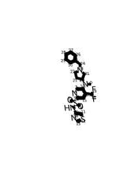 CN(c1cnc(S(=O)(=O)Nc2cscn2)cc1C(F)F)[C@H]1CCN(Cc2ccccc2)C1